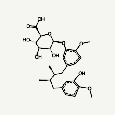 COc1ccc(C[C@@H](C)[C@@H](C)Cc2ccc(OC)c(O[C@@H]3O[C@H](C(=O)O)[C@@H](O)[C@H](O)[C@H]3O)c2)cc1O